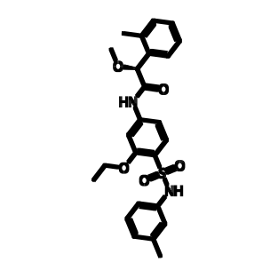 CCOc1cc(NC(=O)[C@@H](OC)c2ccccc2C)ccc1S(=O)(=O)Nc1cccc(C)c1